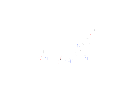 CCOc1ccc2c(C#N)c(-c3ccc(NC(=O)OC4CCN(C(C)=O)CC4)cc3)n(C3CCC3)c2c1